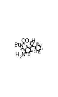 CCN(CC(=O)O)Cc1cc(C(=O)c2ccccc2)ccc1N